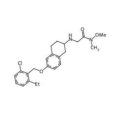 CCc1cccc(Cl)c1COc1ccc2c(c1)CCC(NCC(=O)N(C)OC)C2